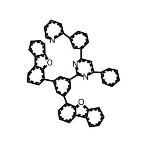 c1ccc(-c2cc(-c3cccc(-c4ccccn4)c3)nc(-c3cc(-c4cccc5c4oc4ccccc45)cc(-c4cccc5c4oc4ccccc45)c3)n2)cc1